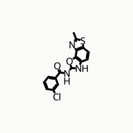 Cc1nc2c3c(ccc2s1)NC(NC(=O)c1cccc(Cl)c1)O3